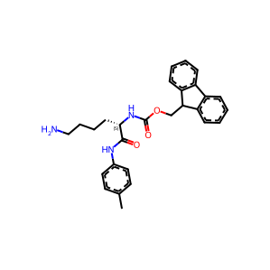 Cc1ccc(NC(=O)[C@H](CCCCN)NC(=O)OCC2c3ccccc3-c3ccccc32)cc1